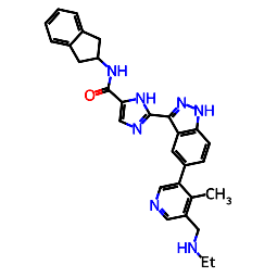 CCNCc1cncc(-c2ccc3[nH]nc(-c4ncc(C(=O)NC5Cc6ccccc6C5)[nH]4)c3c2)c1C